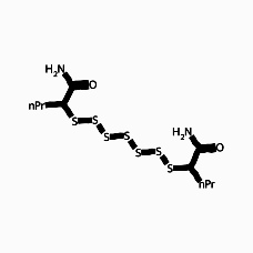 CCCC(SSSSSSSC(CCC)C(N)=O)C(N)=O